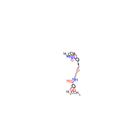 CC1(C)OCc2cc([C@@H](O)CNCCCCCCOCCC#Cc3cccc(N4C(=O)NC(C)(C)C4=O)c3)ccc2O1